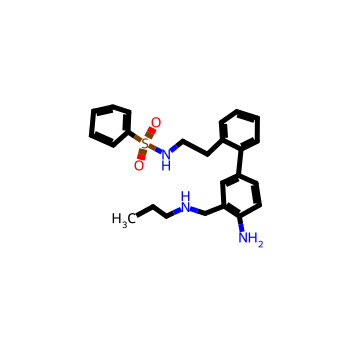 CCCNCc1cc(-c2ccccc2CCNS(=O)(=O)c2ccccc2)ccc1N